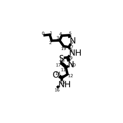 CCCC1CC=NC(Nc2nc(CC(=O)NC)cs2)C1